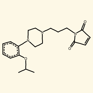 CC(C)Oc1ccccc1N1CCN(CCCN2C(=O)C=CC2=O)CC1